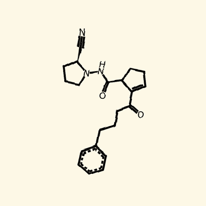 N#C[C@@H]1CCCN1NC(=O)C1CCC=C1C(=O)CCCc1ccccc1